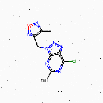 Cc1nonc1Cn1nnc2c(Cl)nc(C(C)(C)C)nc21